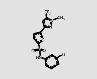 CCc1cccc(NS(=O)(=O)c2ccc(-c3cc(C(F)(F)F)n(C)n3)s2)c1